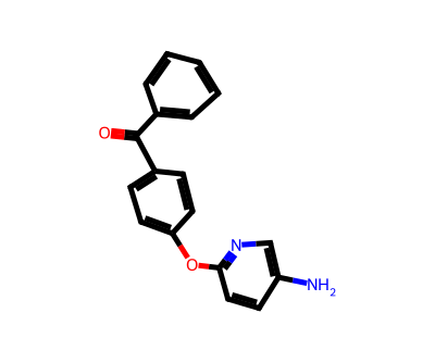 Nc1ccc(Oc2ccc(C(=O)c3ccccc3)cc2)nc1